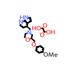 COc1ccc(OCC2CN(Cc3ccnc4[nH]ccc34)CCO2)cc1.O=C(O)C(=O)O